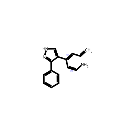 C=C/C=C(\C=C/N)c1c[nH]nc1-c1ccccc1